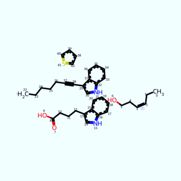 CC/C=C\CCO.O=C(O)CCCc1c[nH]c2ccccc12.[CH2]CCCCC#Cc1c[nH]c2ccccc12.c1ccsc1